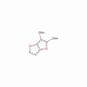 COc1oc2ccoc2c1OC